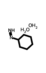 N=NC1CCCCC1.O.O